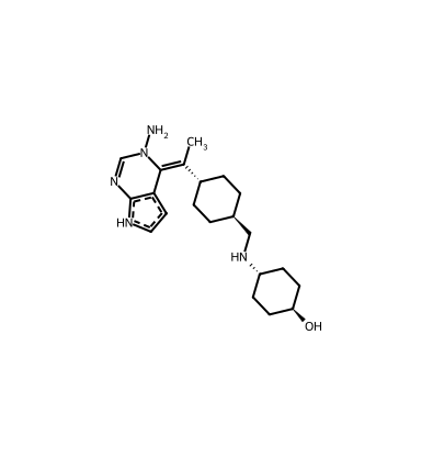 C/C(=C1/c2cc[nH]c2N=CN1N)[C@H]1CC[C@H](CN[C@H]2CC[C@H](O)CC2)CC1